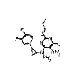 CCCSc1nc(Cl)c(N)c(N(P)[C@@H]2C[C@H]2c2ccc(F)c(F)c2)n1